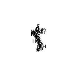 CCN(C(=O)c1cc(F)ccc1Oc1cncnc1N1CC2(CCN(CC3(O)CCC(NS(=O)(=O)C4CCC4)CC3)CC2)C1)C(C)C